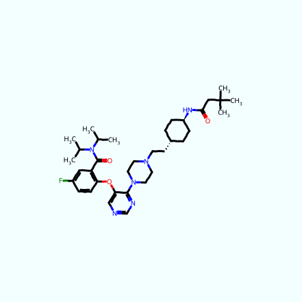 CC(C)N(C(=O)c1cc(F)ccc1Oc1cncnc1N1CCN(CC[C@H]2CC[C@H](NC(=O)CC(C)(C)C)CC2)CC1)C(C)C